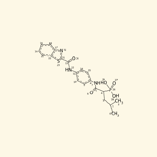 CC(C)CC(C(=O)Nc1ccc(NC(=O)c2nc3ccccc3s2)cc1)P(=O)(O)O